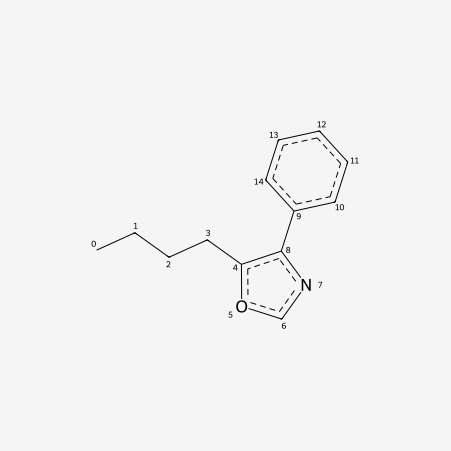 CCCCc1ocnc1-c1ccccc1